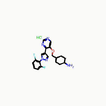 Cl.NC1CCC(COc2cncnc2-c2cnn(-c3c(F)cccc3F)c2)CC1